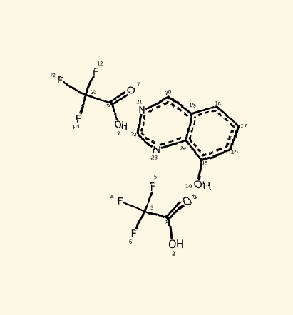 O=C(O)C(F)(F)F.O=C(O)C(F)(F)F.Oc1cccc2cncnc12